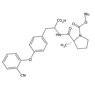 CC(C)(C)OC(=O)N1CCC[C@@]1(C)C(=O)NC(Cc1ccc(Oc2ccccc2C#N)cc1)C(=O)O